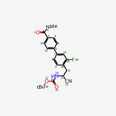 CNC(=O)c1ccc(-c2ccc(C[C@@H](C#N)NC(=O)OC(C)(C)C)c(F)c2)cc1